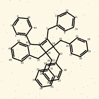 c1ccc(CC2=C(Cc3ccccc3)C(Cc3ccccc3)(Cc3ccccc3)C2(Cc2ccccc2)Cc2ccccc2)cc1